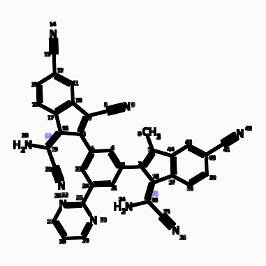 CC1=C(c2cc(C3=C(C#N)c4cc(C#N)ccc4/C3=C(\N)C#N)cc(-c3ncccn3)c2)/C(=C(\N)C#N)c2ccc(C#N)cc21